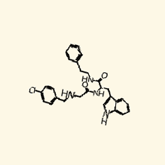 O=C(CNCc1ccc(Cl)cc1)N[C@H](Cc1c[nH]c2ccccc12)C(=O)NCCc1ccccc1